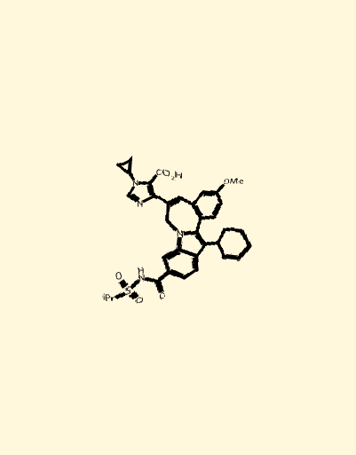 COc1ccc2c(c1)C=C(c1ncn(C3CC3)c1C(=O)O)Cn1c-2c(C2CCCCC2)c2ccc(C(=O)NS(=O)(=O)C(C)C)cc21